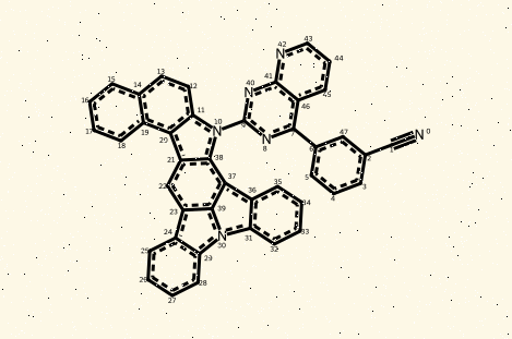 N#Cc1cccc(-c2nc(-n3c4ccc5ccccc5c4c4cc5c6ccccc6n6c7ccccc7c(c43)c56)nc3ncccc23)c1